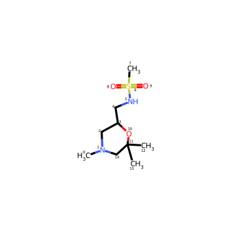 CN1CC(CNS(C)(=O)=O)OC(C)(C)C1